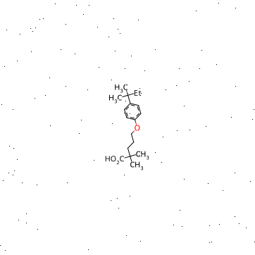 CCC(C)(C)c1ccc(OCCCC(C)(C)C(=O)O)cc1